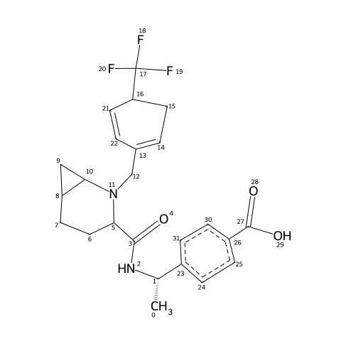 C[C@H](NC(=O)C1CCC2CC2N1CC1=CCC(C(F)(F)F)C=C1)c1ccc(C(=O)O)cc1